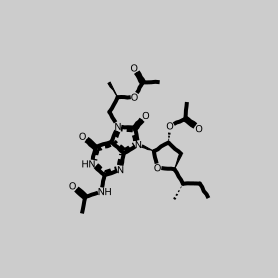 CC[C@H](C)[C@@H]1C[C@@H](OC(C)=O)[C@H](n2c(=O)n(C[C@@H](C)OC(C)=O)c3c(=O)[nH]c(NC(C)=O)nc32)O1